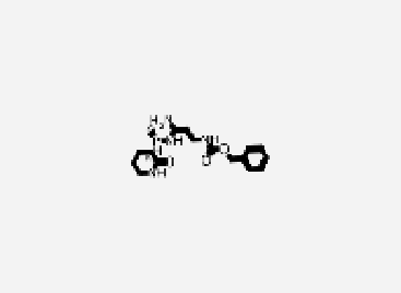 NC(CCNC(=O)OCc1ccccc1)N[PH](=O)[C@H]1CCCNC1=O